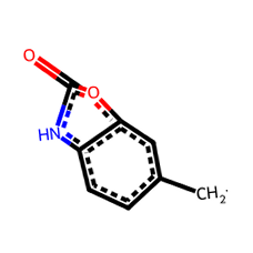 [CH2]c1ccc2[nH]c(=O)oc2c1